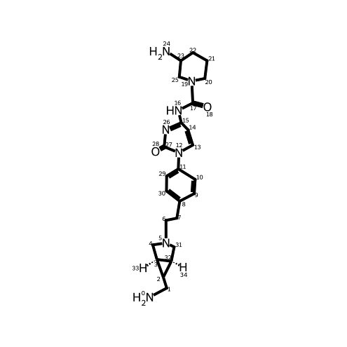 NCC1[C@H]2CN(CCc3ccc(-n4ccc(NC(=O)N5CCCC(N)C5)nc4=O)cc3)C[C@@H]12